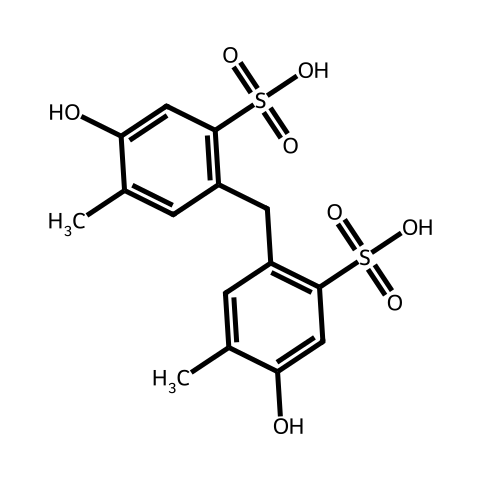 Cc1cc(Cc2cc(C)c(O)cc2S(=O)(=O)O)c(S(=O)(=O)O)cc1O